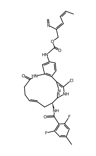 C=N/C(=C\C=C/C)COC(=O)Nc1ccc2c(c1)NC(=O)CC/C=C/C[C@H](NC(=O)c1c(F)cc(C)cc1F)c1nc-2c(Cl)[nH]1